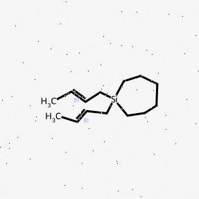 C/C=C/C[Si]1(C/C=C/C)CCCCCC1